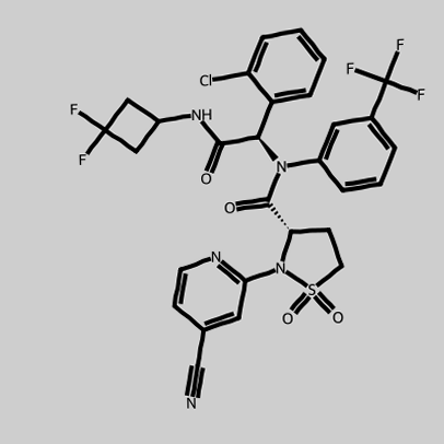 N#Cc1ccnc(N2[C@H](C(=O)N(c3cccc(C(F)(F)F)c3)[C@@H](C(=O)NC3CC(F)(F)C3)c3ccccc3Cl)CCS2(=O)=O)c1